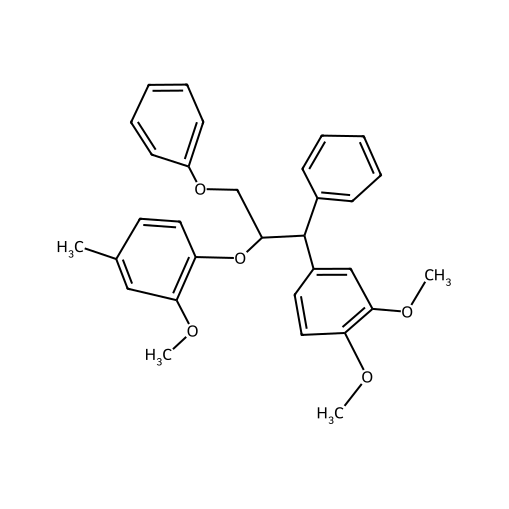 COc1ccc(C(c2ccccc2)C(COc2ccccc2)Oc2ccc(C)cc2OC)cc1OC